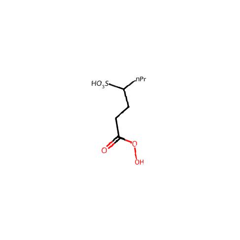 CCCC(CCC(=O)OO)S(=O)(=O)O